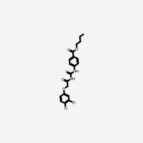 CCCCOC(=O)c1ccc(NC(=S)NC(=O)COc2ccc(Cl)c(Cl)c2)cc1